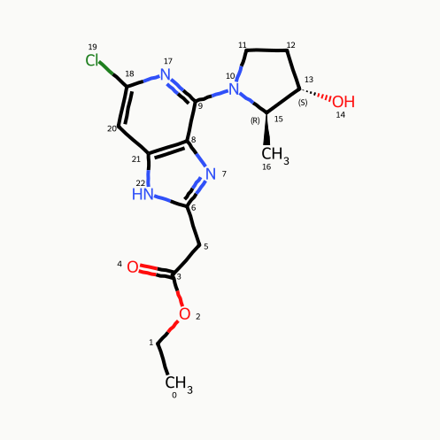 CCOC(=O)Cc1nc2c(N3CC[C@H](O)[C@H]3C)nc(Cl)cc2[nH]1